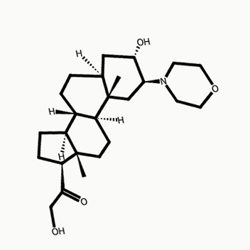 C[C@]12C[C@H](N3CCOCC3)[C@@H](O)C[C@@H]1CC[C@@H]1[C@@H]2CC[C@]2(C)[C@@H](C(=O)CO)CC[C@@H]12